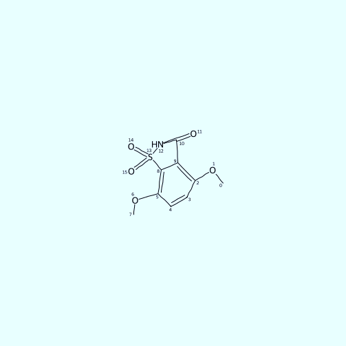 COc1ccc(OC)c2c1C(=O)NS2(=O)=O